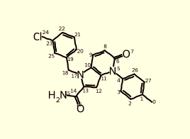 Cc1ccc(-n2c(=O)ccc3c2cc(C(N)=O)n3Cc2cccc(Cl)c2)cc1